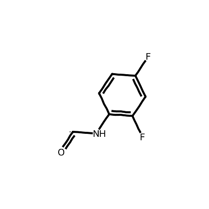 O=[C]Nc1ccc(F)cc1F